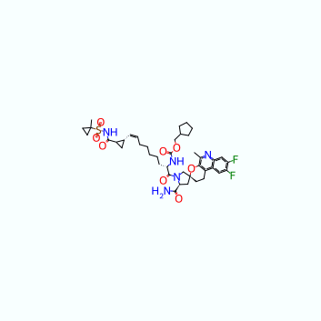 Cc1nc2cc(F)c(F)cc2c2c1O[C@]1(CC2)C[C@@H](C(N)=O)N(C(=O)[C@H](CCCCC/C=C\[C@@H]2CC2C(=O)NS(=O)(=O)C2(C)CC2)NC(=O)OCC2CCCC2)C1